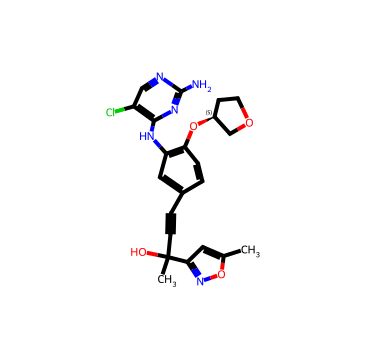 Cc1cc(C(C)(O)C#Cc2ccc(O[C@H]3CCOC3)c(Nc3nc(N)ncc3Cl)c2)no1